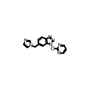 c1cnc(On2nnc3ccc(Cn4ccnc4)cc32)nc1